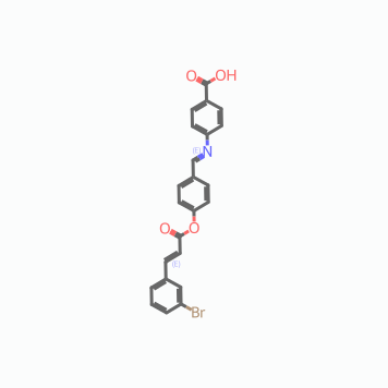 O=C(/C=C/c1cccc(Br)c1)Oc1ccc(/C=N/c2ccc(C(=O)O)cc2)cc1